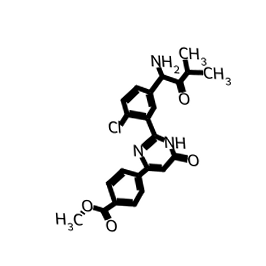 COC(=O)c1ccc(-c2cc(=O)[nH]c(-c3cc(C(N)C(=O)C(C)C)ccc3Cl)n2)cc1